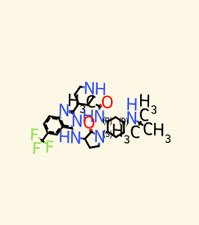 CC(=O)N[C@@H]1C[C@H](NC(C)(C)C)CC[C@@H]1N1CCC(Nc2nc(C3CCNCC3)nc3ccc(C(F)(F)F)cc23)C1=O